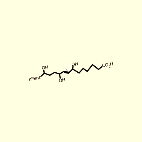 CCCCCC(O)CCC(O)/C=C/C(O)CCCCCC(=O)O